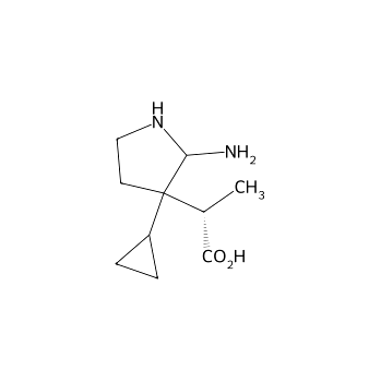 C[C@H](C(=O)O)C1(C2CC2)CCNC1N